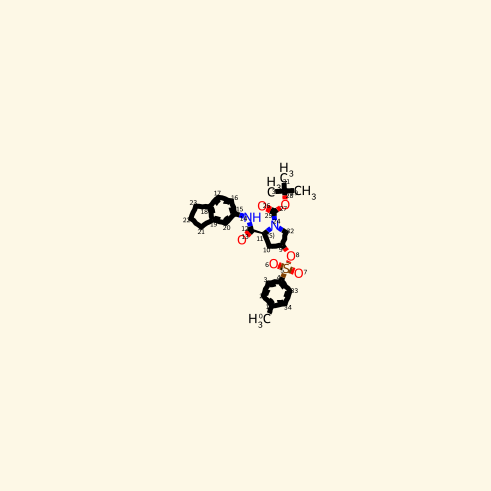 Cc1ccc(S(=O)(=O)OC2C[C@@H](C(=O)Nc3ccc4c(c3)CCC4)N(C(=O)OC(C)(C)C)C2)cc1